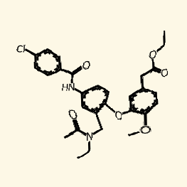 CCOC(=O)Cc1ccc(OC)c(Oc2ccc(NC(=O)c3ccc(Cl)cc3)cc2CN(CC)C(C)=O)c1